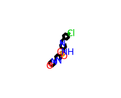 O=S(=O)(NC1CCN(Cc2ccc(Cl)cc2)CC1)c1ccc(N2CCOCC2)nc1